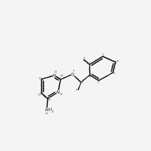 Cc1ccccc1C(C)Oc1nccc(N)n1